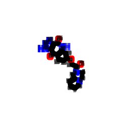 CCN(Cc1ccccn1)C(=O)COc1ccc2c(=O)c3[nH]nnc3c(=O)[nH]c2c1